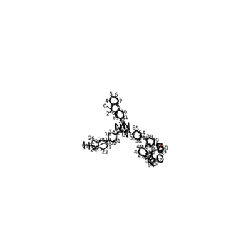 CC1(C)c2ccccc2-c2ccc(-c3nc(C4=CCC(C56CCC7C[C@H](CC7C5)C6)C=C4)nc(-c4ccc(-c5cccc6c5-c5ccccc5C65c6ccccc6Oc6ccccc65)cc4)n3)cc21